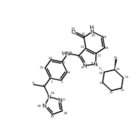 CC(c1ccc(Nc2nn([C@H]3CCCC[C@@H]3C)c3cc[nH]c(=O)c23)cc1)n1nccn1